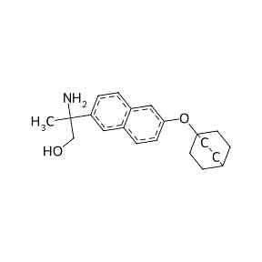 CC(N)(CO)c1ccc2cc(OC34CCC(CC3)CC4)ccc2c1